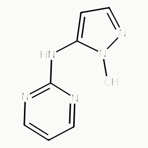 Cn1nccc1Nc1ncccn1